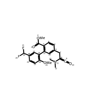 COC(=O)c1ccc(CC(=C=O)N(C)C)cc1-c1cc(C(F)F)ccc1OC